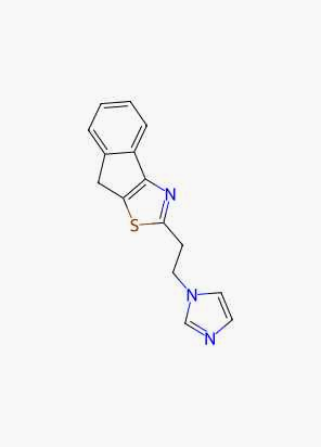 c1ccc2c(c1)Cc1sc(CCn3ccnc3)nc1-2